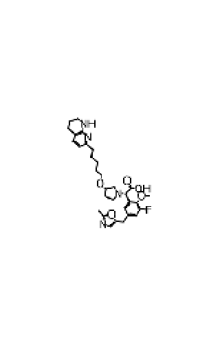 COc1c(F)cc(Cc2cnc(C)o2)cc1[C@H](C(=O)O)N1CC[C@@H](OCCCCCc2ccc3c(n2)NCCC3)C1